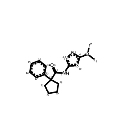 O=C(Nc1nnc(B(I)I)s1)C1(c2ccccc2)CCCC1